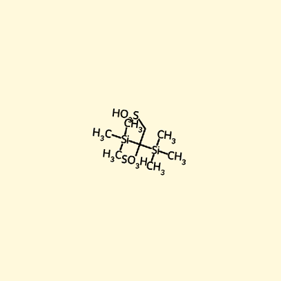 C[Si](C)(C)C(CS(=O)(=O)O)([Si](C)(C)C)S(=O)(=O)O